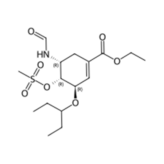 CCOC(=O)C1=C[C@@H](OC(CC)CC)[C@H](OS(C)(=O)=O)[C@H](NC=O)C1